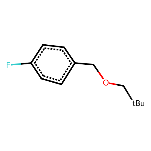 CC(C)(C)COCc1ccc(F)cc1